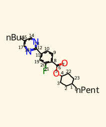 CCCCCC1CCC(OC(=O)c2ccc(-c3ncc(CCCC)cn3)cc2F)CC1